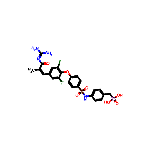 CC(=Cc1cc(F)c(Oc2ccc(S(=O)(=O)Nc3ccc(CP(=O)(O)O)cc3)cc2)c(F)c1)C(=O)N=C(N)N